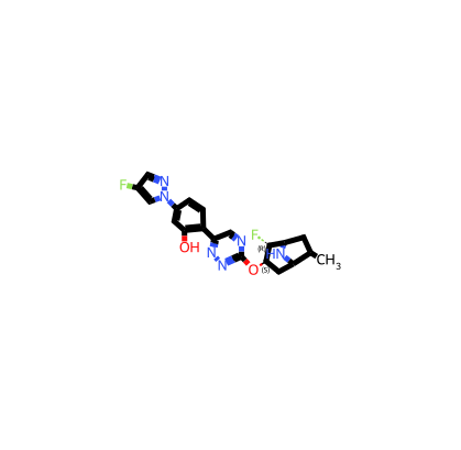 CC1CC2NC1C[C@H](Oc1ncc(-c3ccc(-n4cc(F)cn4)cc3O)nn1)[C@@H]2F